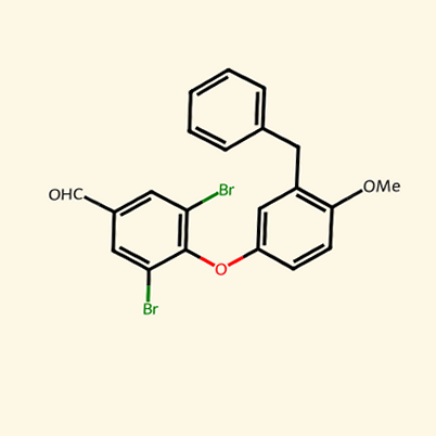 COc1ccc(Oc2c(Br)cc(C=O)cc2Br)cc1Cc1ccccc1